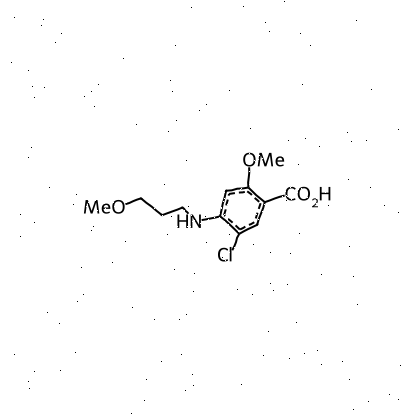 COCCCNc1cc(OC)c(C(=O)O)cc1Cl